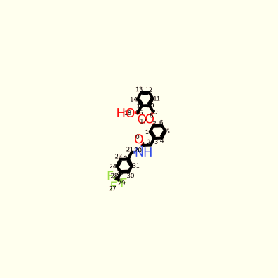 O=C(Cc1cccc(OCc2ccccc2C(=O)O)c1)NCc1ccc(C(F)(F)F)cc1